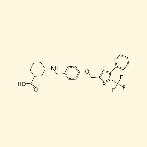 O=C(O)C1CCC[C@H](NCc2ccc(OCc3cc(-c4ccccc4)c(C(F)(F)F)s3)cc2)C1